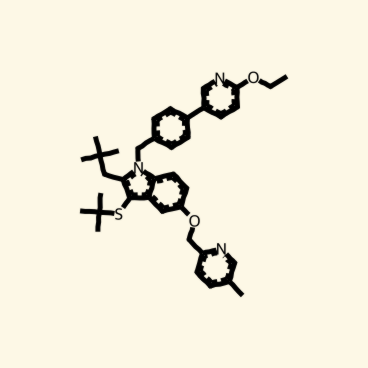 CCOc1ccc(-c2ccc(Cn3c(CC(C)(C)C)c(SC(C)(C)C)c4cc(OCc5ccc(C)cn5)ccc43)cc2)cn1